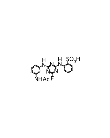 CC(=O)Nc1[c]ccc(Nc2nc(F)nc(Nc3ccccc3S(=O)(=O)O)n2)c1